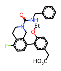 CCOc1ccc(CC(=O)O)cc1-c1ccc(F)c2c1CN(C(=O)NCc1ccccc1)CC2